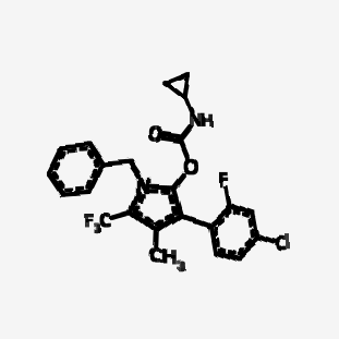 Cc1c(-c2ccc(Cl)cc2F)c(OC(=O)NC2CC2)n(Cc2ccccc2)c1C(F)(F)F